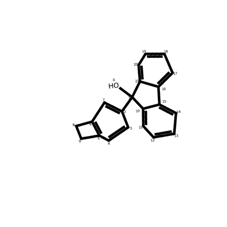 OC1(c2ccc3c(c2)CC3)c2ccccc2-c2ccccc21